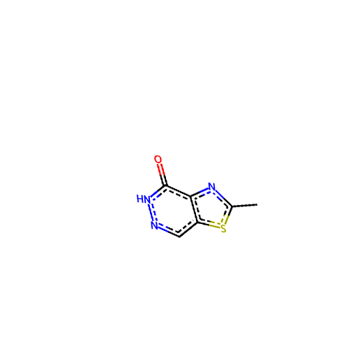 Cc1nc2c(=O)[nH]ncc2s1